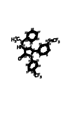 C[C@@H](NC1=CC(c2cccc(SC(F)(F)F)c2)N(c2ccc(C(F)(F)F)cc2)C1=O)c1ccccc1